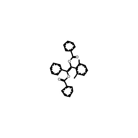 Cc1cccc(C)c1/C(OC(=O)c1ccccc1)=C(\OC(=O)c1ccccc1)c1ccccc1